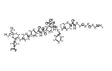 CC1(C)CCC(CN2CCN(c3ccc(C(=O)NS(=O)(=O)c4ccc(N[C@H](CCN5CCN(C(=O)NCCOCCOCCN)CC5)CSc5ccccc5)c(S(=O)(=O)C(F)(F)F)c4)cc3)CC2)=C(C23CC(C(F)F)(C2)C3)C1